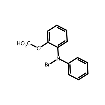 O=C(O)Oc1ccccc1N(Br)c1ccccc1